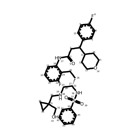 O=C(CC(c1ccc(F)cc1)C1CCOCC1)Nc1cccc(F)c1CC[C@@H](CNCC1(CO)CC1)NS(=O)(=O)c1ccccc1